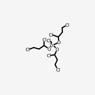 ClCCC(Cl)[O][Zr]([Cl])([O]C(Cl)CCCl)[O]C(Cl)CCCl